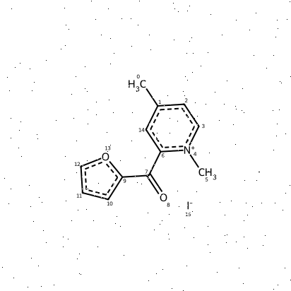 Cc1cc[n+](C)c(C(=O)c2ccco2)c1.[I-]